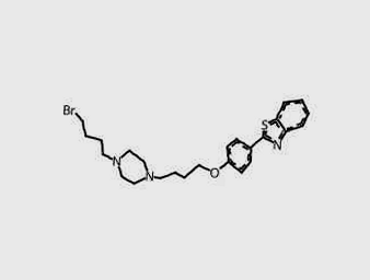 BrCCCCN1CCN(CCCCOc2ccc(-c3nc4ccccc4s3)cc2)CC1